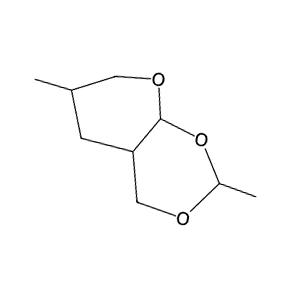 CC1COC2OC(C)OCC2C1